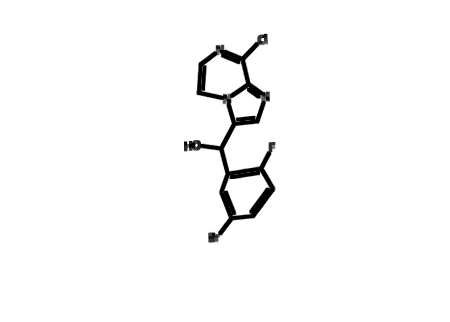 OC(c1cc(Br)ccc1F)c1cnc2c(Cl)nccn12